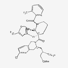 CCC[C@H]1N(C(=O)c2ncccc2C(F)(F)F)CCC[C@@]1(Oc1csc(C(F)(F)F)c1)C(=O)N1Cc2ccc(Cl)cc2C[C@@H]1CC(COC)C(=O)O